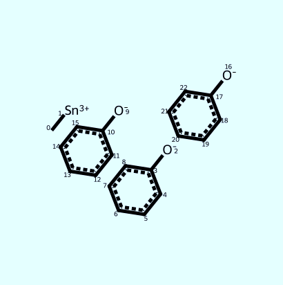 [CH3][Sn+3].[O-]c1ccccc1.[O-]c1ccccc1.[O-]c1ccccc1